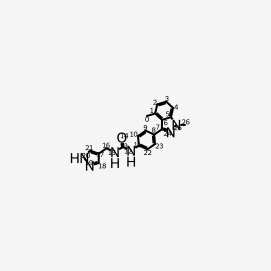 Cc1cccc2c1c(-c1ccc(NC(=O)NCc3cn[nH]c3)cc1)nn2C